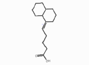 O=C(O)CCC/C=C1\CCCC2CCCCC12